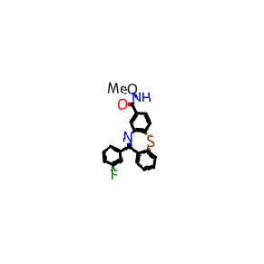 CONC(=O)c1ccc2c(c1)N=C(c1cccc(F)c1)c1ccccc1S2